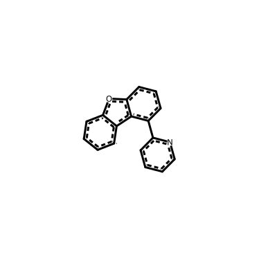 [c]1cccc2oc3cccc(-c4ccccn4)c3c12